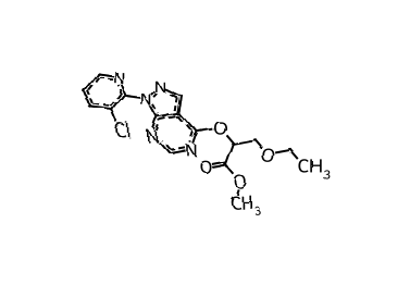 CCOCC(Oc1ncnc2c1cnn2-c1ncccc1Cl)C(=O)OC